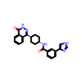 O=C(N[C@H]1CC[C@H](c2n[nH]c(=O)c3ccccc32)CC1)c1cccc(-c2c[nH]cn2)c1